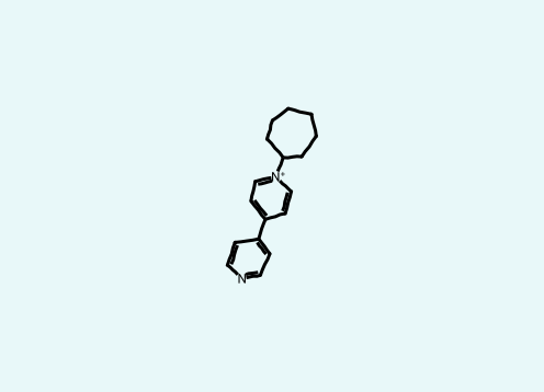 c1cc(-c2cc[n+](C3CCCCCC3)cc2)ccn1